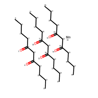 CCCCC(=O)CC(=O)CCCC.CCCCC(=O)CC(=O)CCCC.CCCCC(=O)CC(=O)CCCC.[Mn]